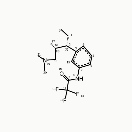 CC[C@H](c1cccc(NC(=O)C(F)(F)F)c1)[C@@H](C)CN(C)C